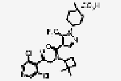 CC1(C)CC[C@@H]1N(CC(=O)c1c(Cl)cncc1Cl)C(=O)c1cnn([C@H]2CC[C@](C)(C(=O)O)CC2)c1C(F)(F)F